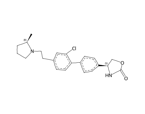 C[C@@H]1CCCN1CCc1ccc(-c2ccc([C@H]3COC(=O)N3)cc2)c(Cl)c1